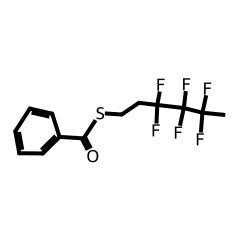 CC(F)(F)C(F)(F)C(F)(F)CCSC(=O)c1ccccc1